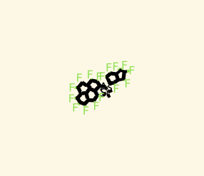 C[Si](C)(C)[As](c1c(F)c(F)c2c(c1F)C(F)=C(F)C2(F)F)c1c(F)c(F)c2c(F)c(F)c3c(F)c(F)c(F)c4c(F)c(F)c1c2c34